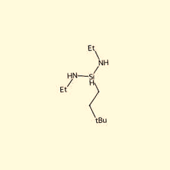 CCN[SiH](CCC(C)(C)C)NCC